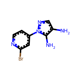 Nc1cnn(-c2ccnc(Br)c2)c1N